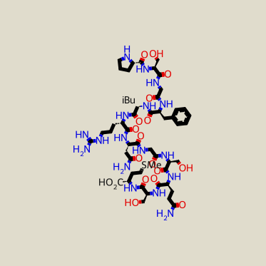 CC[C@H](C)[C@H](NC(=O)[C@H](Cc1ccccc1)NC(=O)CNC(=O)[C@H](CO)NC(=O)[C@@H]1CCCN1)C(=O)N[C@@H](CCCNC(=N)N)C(=O)N[C@@H](CC(N)=O)C(=O)NCC(=O)N[C@@H](CO)C(=O)N[C@@H](CCC(N)=O)C(=O)N[C@@H](CO)C(=O)N[C@@H](CCSC)C(=O)O